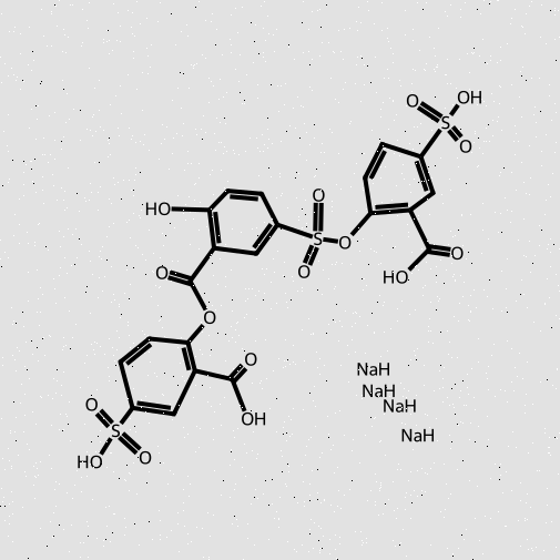 O=C(Oc1ccc(S(=O)(=O)O)cc1C(=O)O)c1cc(S(=O)(=O)Oc2ccc(S(=O)(=O)O)cc2C(=O)O)ccc1O.[NaH].[NaH].[NaH].[NaH]